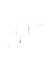 CN1CC[C@H](O)C[C@H]1CO